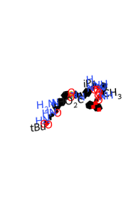 CC(C)[C@H](NC(=O)[C@@H]1CCCN1C(=O)[C@@H](C)NC(=O)OCC1c2ccccc2-c2ccccc21)C(=O)Nc1ccc(CN(CC2CN(S(=O)(=O)c3cccc(-c4ccc5c(c4)N=C(N)CC(C(=O)NCCCNC(=O)OC(C)(C)C)=C5)c3)C2)C(=O)O)cc1